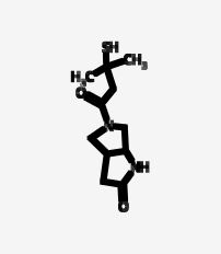 CC(C)(S)CC(=O)N1CC2CC(=O)NC2C1